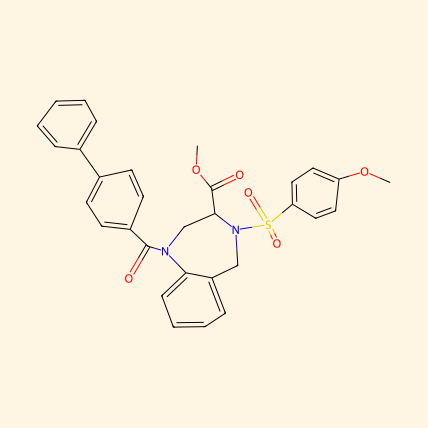 COC(=O)C1CN(C(=O)c2ccc(-c3ccccc3)cc2)c2ccccc2CN1S(=O)(=O)c1ccc(OC)cc1